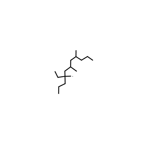 [CH2]C(CC)(CCC)CC(C)CC(C)CCC